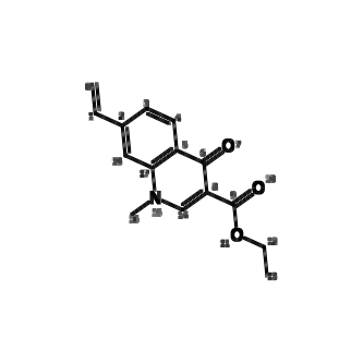 C=Cc1ccc2c(=O)c(C(=O)OCC)cn(C)c2c1